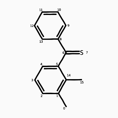 Cc1cccc(C(=S)c2ccccc2)c1C